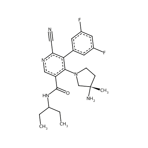 CCC(CC)NC(=O)c1cnc(C#N)c(-c2cc(F)cc(F)c2)c1N1CC[C@](C)(N)C1